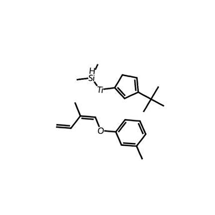 C=CC(C)=COc1cccc(C)c1.C[SiH](C)[Ti][C]1=CC(C(C)(C)C)=CC1